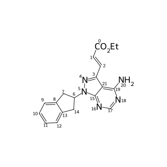 CCOC(=O)C=Cc1nn(C2Cc3ccccc3C2)c2ncnc(N)c12